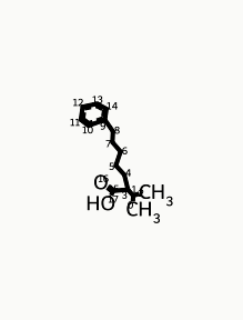 CC(C)C(CCCCCc1ccccc1)C(=O)O